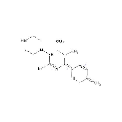 C=C(F)\C=C/C(C)=C(/N=C(/CC)NN1CCNCC1)C(C)COC